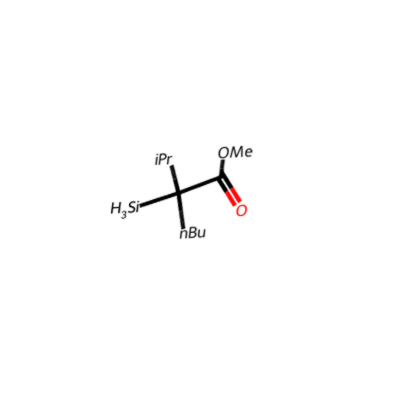 CCCCC([SiH3])(C(=O)OC)C(C)C